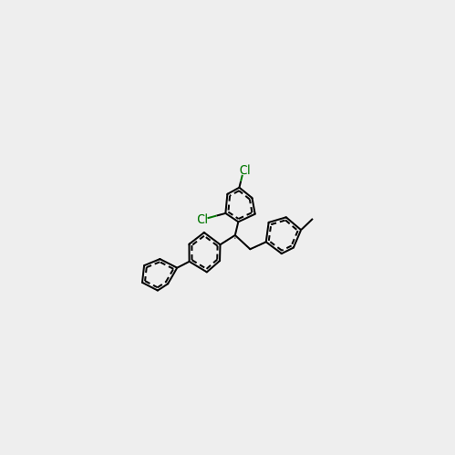 Cc1ccc(C[C](c2ccc(-c3ccccc3)cc2)c2ccc(Cl)cc2Cl)cc1